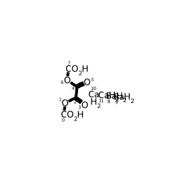 O=C(O)OC(=O)C(=O)OC(=O)O.[BaH2].[BaH2].[CaH2].[CaH2]